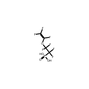 O=P(O)(O)C(F)(F)C(F)(F)OC(F)=C(F)F